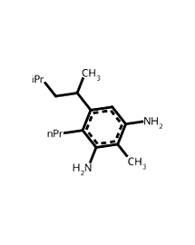 CCCc1c(C(C)CC(C)C)cc(N)c(C)c1N